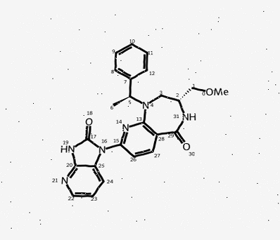 COC[C@H]1CN([C@@H](C)c2ccccc2)c2nc(-n3c(=O)[nH]c4ncccc43)ccc2C(=O)N1